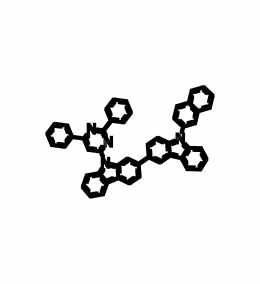 c1ccc(-c2cc(-n3c4ccccc4c4ccc(-c5ccc6c(c5)c5ccccc5n6-c5ccc6ccccc6c5)cc43)nc(-c3ccccc3)n2)cc1